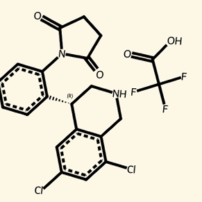 O=C(O)C(F)(F)F.O=C1CCC(=O)N1c1ccccc1[C@@H]1CNCc2c(Cl)cc(Cl)cc21